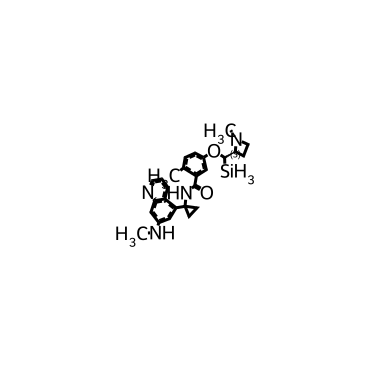 CNc1cc(C2(NC(=O)c3cc(OC([SiH3])[C@@H]4CCN4C)ccc3C)CC2)c2cccnc2c1